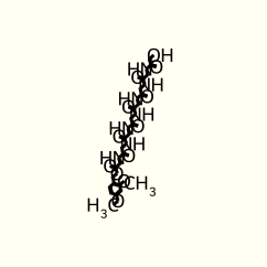 COc1ccc(COC(=O)CNC(=O)CNC(=O)CNC(=O)CNC(=O)CNC(=O)CNC(=O)CNC(=O)CO)c(OC)c1